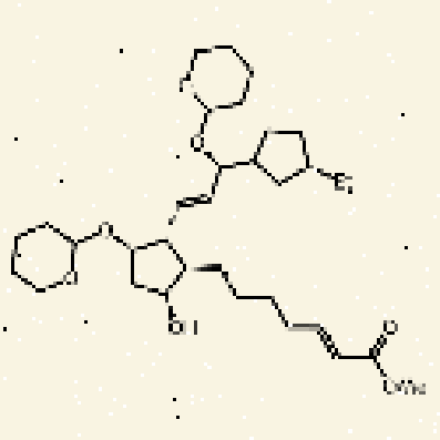 CCC1CCC([C@@H](/C=C/[C@@H]2[C@@H](CCCC/C=C/C(=O)OC)[C@@H](O)C[C@H]2OC2CCCCO2)OC2CCCCO2)C1